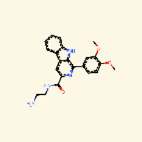 COc1ccc(-c2nc(C(=O)NCCN)cc3c2[nH]c2ccccc23)cc1OC